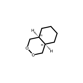 C1CC[C@H]2COOC[C@H]2C1